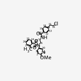 COc1ccc(N(CCNC(=O)c2ccc(CCCl)cc2)S(=O)(=O)c2ccccc2C)cn1